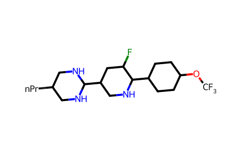 CCCC1CNC(C2CNC(C3CCC(OC(F)(F)F)CC3)C(F)C2)NC1